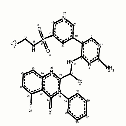 CCC(Nc1nc(N)ncc1-c1cncc(S(=O)(=O)NCC(F)(F)F)c1)c1nc2cccc(F)c2c(=O)n1-c1ccccc1